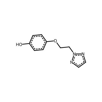 Oc1ccc(OCCn2nccn2)cc1